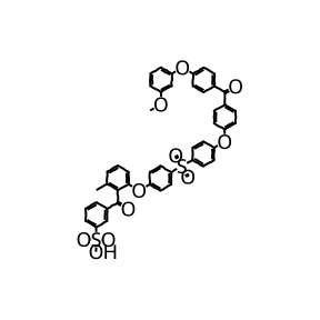 COc1cccc(Oc2ccc(C(=O)c3ccc(Oc4ccc(S(=O)(=O)c5ccc(Oc6cccc(C)c6C(=O)c6cccc(S(=O)(=O)O)c6)cc5)cc4)cc3)cc2)c1